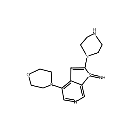 N=S1C(N2CCNCC2)=Cc2c(N3CCOCC3)cncc21